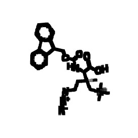 C[C@@](CCN=[N+]=[N-])(C[N+](C)(C)C)[C@@H](NC(=O)OCC1c2ccccc2-c2ccccc21)C(=O)O